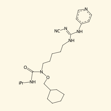 CC(C)NC(=O)N(CCCCCNC(=NC#N)Nc1ccncc1)OCC1CCCCC1